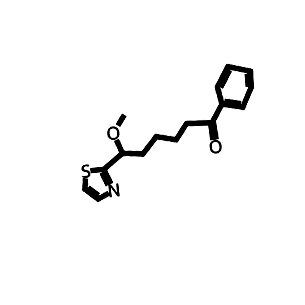 COC(CCCCC(=O)c1ccccc1)c1nccs1